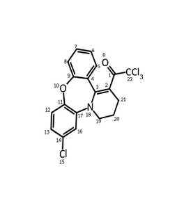 O=C(C1=C2c3ccccc3Oc3ccc(Cl)cc3N2CCC1)C(Cl)(Cl)Cl